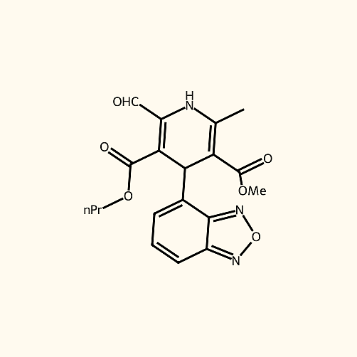 CCCOC(=O)C1=C(C=O)NC(C)=C(C(=O)OC)C1c1cccc2nonc12